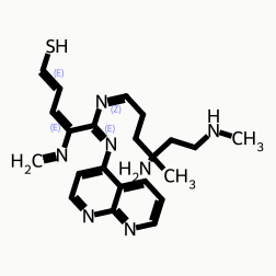 C=NC(=C/C=C/S)/C(/N=C\CCC(C)(N)CCNC)=N\c1ccnc2ncccc12